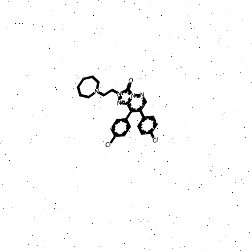 O=c1n(CCN2CCCCCC2)nc2c(-c3ccc(Cl)cc3)c(-c3ccc(Cl)cc3)cnn12